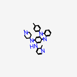 Cc1ccc(-n2c3c/c(=N\C4CCN(C)CC4)c(Nc4cccnc4C)cc-3nc3ccccc32)cc1